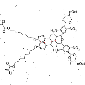 C=C(Cl)C(=O)OCCCCCCCCOc1ccc(C2CCC(C(OC(c3cc([N+](=O)[O-])c([C@H]4OC[C@H](CCCCCCCC)[C@@H](C)O4)cc3N)C3CCC(c4ccc(OCCCCCCCCOC(=O)C(=C)Cl)cc4)CC3)c3cc([N+](=O)[O-])c([C@H]4OC[C@H](CCCCCCCC)[C@@H](C)O4)cc3N)CC2)cc1